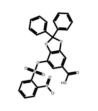 O=C(O)c1cc2c(c(OS(=O)(=O)c3ccccc3[N+](=O)[O-])c1)OC(c1ccccc1)(c1ccccc1)O2